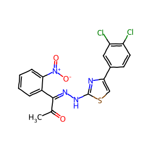 CC(=O)/C(=N\Nc1nc(-c2ccc(Cl)c(Cl)c2)cs1)c1ccccc1[N+](=O)[O-]